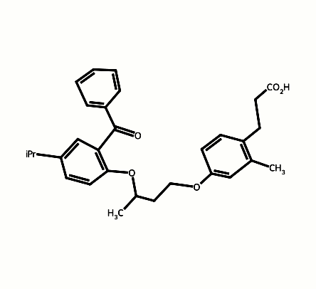 Cc1cc(OCCC(C)Oc2ccc(C(C)C)cc2C(=O)c2ccccc2)ccc1CCC(=O)O